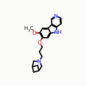 COc1cc2c(cc1OCCCN1CC3CC(C3)C1)[nH]c1ccncc12